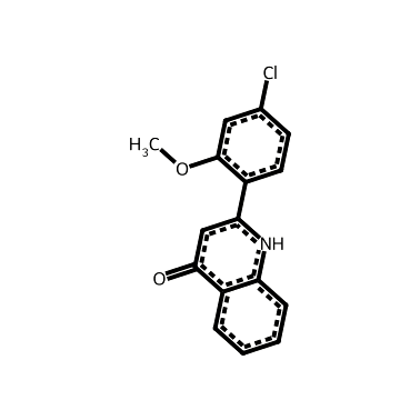 COc1cc(Cl)ccc1-c1cc(=O)c2ccccc2[nH]1